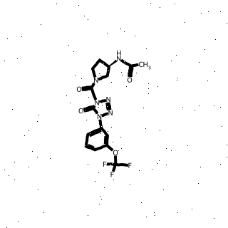 CC(=O)N[C@@H]1CCN(C(=O)n2nnn(-c3cccc(OC(F)(F)F)c3)c2=O)C1